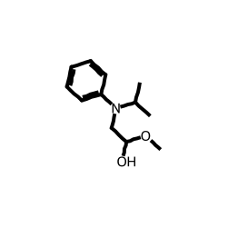 COC(O)CN(c1ccccc1)C(C)C